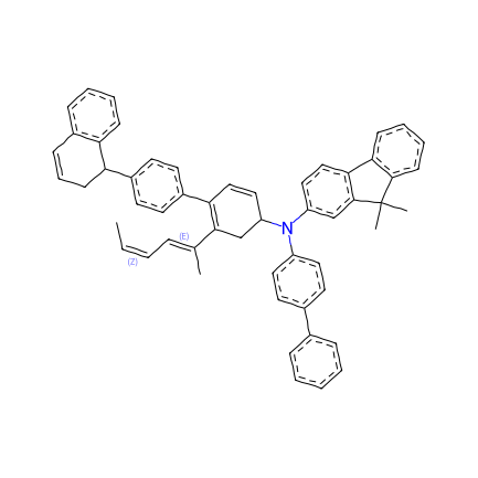 C/C=C\C=C(/C)C1=C(c2ccc(C3CC=Cc4ccccc43)cc2)C=CC(N(c2ccc(-c3ccccc3)cc2)c2ccc3c(c2)C(C)(C)c2ccccc2-3)C1